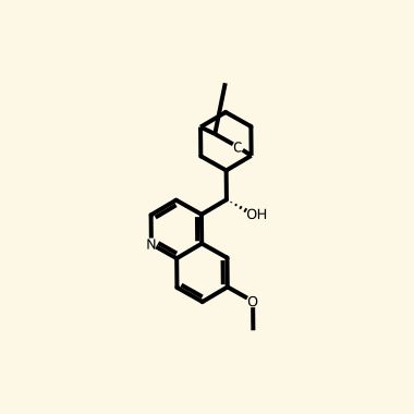 COc1ccc2nccc([C@@H](O)C3CC4CCC3CC4C)c2c1